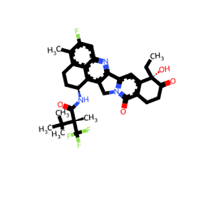 CC[C@@]1(O)C(=O)CCc2c1cc1n(c2=O)Cc2c-1nc1cc(F)c(C)c3c1c2[C@@H](NC(=O)[C@@](C)(C(C)(C)C)C(F)(F)F)CC3